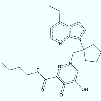 CCCCNC(=O)c1nn(CC2(n3ccc4c(CC)ccnc43)CCCC2)cc(O)c1=O